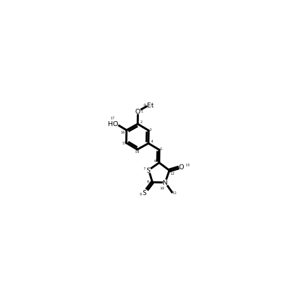 CCOc1cc(/C=C2\SC(=S)N(C)C2=O)ccc1O